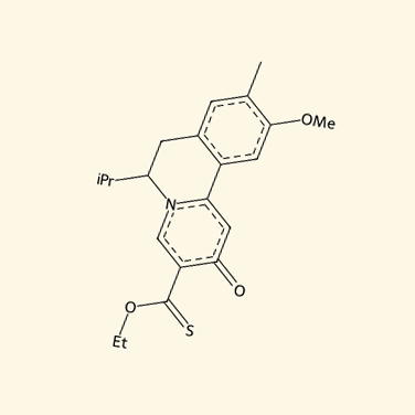 CCOC(=S)c1cn2c(cc1=O)-c1cc(OC)c(C)cc1CC2C(C)C